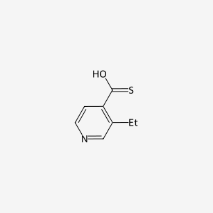 CCc1cnccc1C(O)=S